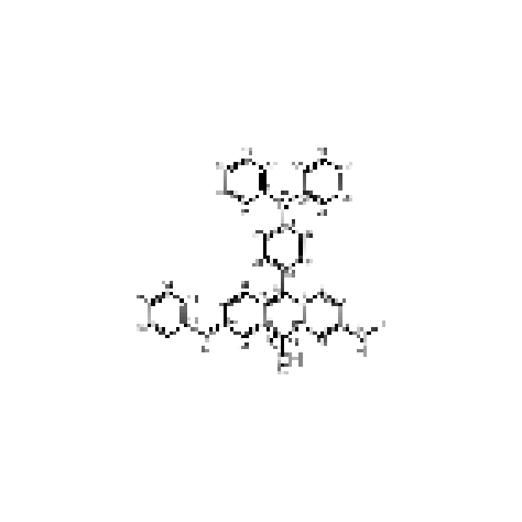 CNc1ccc(C(=C2C=CC(=Nc3ccccc3)C=C2)c2ccc(N(c3ccccc3)c3ccccc3)cc2)c(C(=O)O)c1